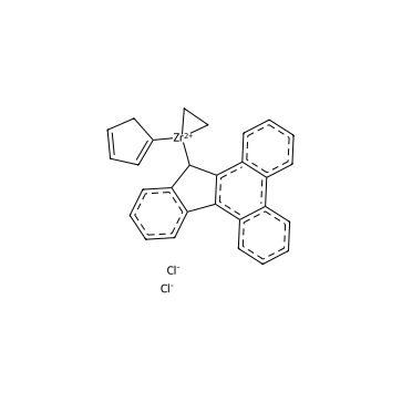 C1=CC[C]([Zr+2]2([CH]3c4ccccc4-c4c3c3ccccc3c3ccccc43)[CH2][CH2]2)=C1.[Cl-].[Cl-]